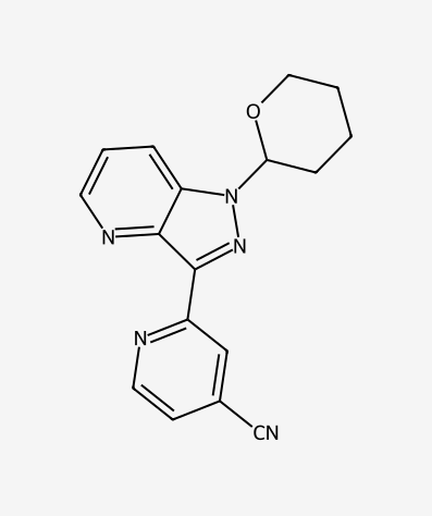 N#Cc1ccnc(-c2nn(C3CCCCO3)c3cccnc23)c1